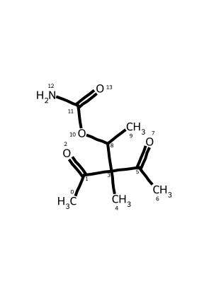 CC(=O)C(C)(C(C)=O)C(C)OC(N)=O